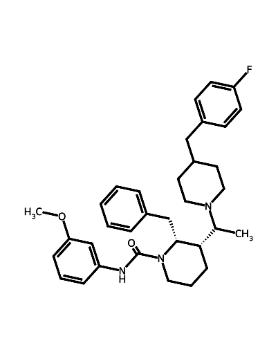 COc1cccc(NC(=O)N2CCC[C@@H](C(C)N3CCC(Cc4ccc(F)cc4)CC3)[C@H]2Cc2ccccc2)c1